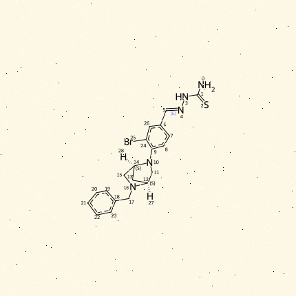 NC(=S)N/N=C/c1ccc(N2C[C@@H]3C[C@H]2CN3Cc2ccccc2)c(Br)c1